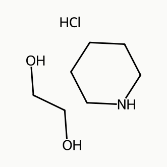 C1CCNCC1.Cl.OCCO